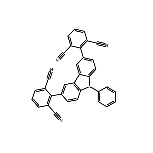 N#Cc1cccc(C#N)c1-c1ccc2c(c1)c1cc(-c3c(C#N)cccc3C#N)ccc1n2-c1ccccc1